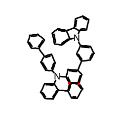 c1ccc(-c2ccc(N(c3cccc(-c4cccc(-n5c6ccccc6c6ccccc65)c4)c3)c3ccccc3-c3ccccc3)cc2)cc1